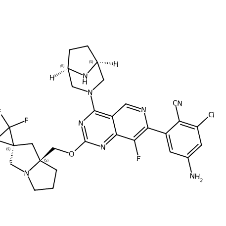 N#Cc1c(Cl)cc(N)cc1-c1ncc2c(N3C[C@H]4CC[C@@H](C3)N4)nc(OC[C@@]34CCCN3C[C@@]3(CC3(F)F)C4)nc2c1F